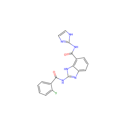 O=C(Nc1nc2cccc(C(=O)Nc3ncc[nH]3)c2[nH]1)c1ccccc1F